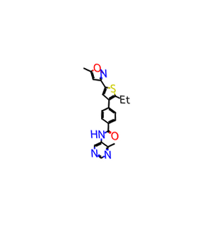 CCc1sc(-c2cc(C)on2)cc1-c1ccc(C(=O)Nc2cncnc2C)cc1